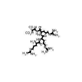 NC(N)=NCCCC(N)C(=O)NC(CCCN=C(N)N)C(=O)NC(CCCN=C(N)N)C(=O)NC(CC(=O)O)C(=O)O